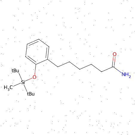 CC(C)(C)[Si](C)(Oc1ccccc1CCCCCC(N)=O)C(C)(C)C